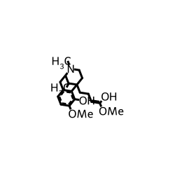 CO/C(O)=C/CCC12CCN(C)C(Cc3ccc(OC)c(O)c31)C2C